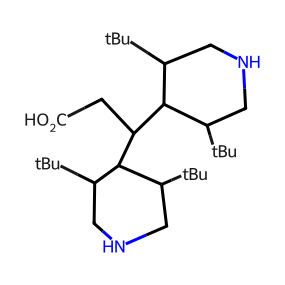 CC(C)(C)C1CNCC(C(C)(C)C)C1C(CC(=O)O)C1C(C(C)(C)C)CNCC1C(C)(C)C